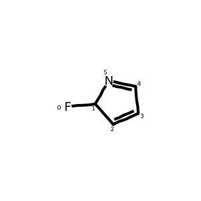 FC1C=CC=N1